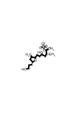 C=C1C[C@H](CCCO)OC1CCC(O)C[C@@H](C)C(=C)OS(=O)(=O)C(F)(F)F